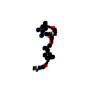 C=Cc1ccc(OCCCCCCC2(c3ccccc3)c3ccccc3-c3ccc(N(c4ccccc4)c4ccc5c(c4)c4ccccc4n5-c4ccc(COCc5ccc(COCc6ccc(-n7c8ccccc8c8cc(N(c9ccccc9)c9ccc%10c(c9)C(CCCCCCOc9ccc(C=C)cc9)(c9ccccc9)c9ccccc9-%10)ccc87)cc6)cc5)cc4)cc32)cc1